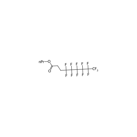 CCCOC(=O)CCC(F)(F)C(F)(F)C(F)(F)C(F)(F)C(F)(F)C(F)(F)F